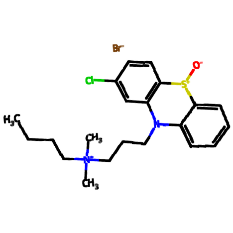 CCCC[N+](C)(C)CCCN1c2ccccc2[S+]([O-])c2ccc(Cl)cc21.[Br-]